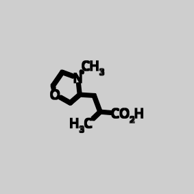 CC(CC1COCCN1C)C(=O)O